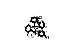 C[C@@H]1CCCN(C(=O)c2cccc(Cl)c2-c2ncccn2)C1CNc1ccc(Cl)cn1